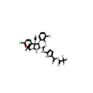 CC(C)(C)C[C@@H]1N[C@@H](C(=O)Nc2ccc(C(=O)OC(=O)C(F)(F)F)[nH]2)[C@H](c2cccc(Cl)c2F)[C@@]1(C#N)c1ccc(Cl)cc1F